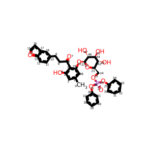 Cc1cc(O)c(C(=O)CCc2ccc3occc3c2)c(O[C@@H]2O[C@H](COP(=O)(Oc3ccccc3)Oc3ccccc3)[C@@H](O)[C@H](O)[C@H]2O)c1